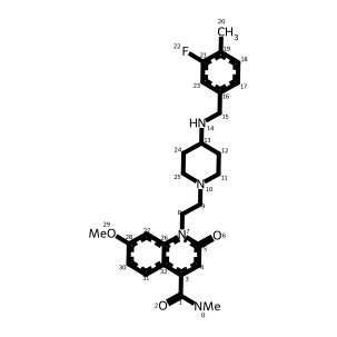 CNC(=O)c1cc(=O)n(CCN2CCC(NCc3ccc(C)c(F)c3)CC2)c2cc(OC)ccc12